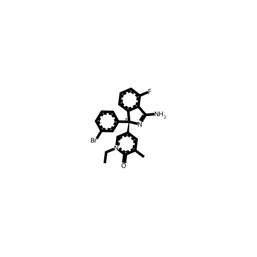 CCn1cc([C@]2(c3cccc(Br)c3)N=C(N)c3c(F)cccc32)cc(C)c1=O